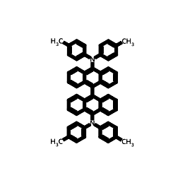 Cc1ccc(N(c2ccc(C)cc2)c2c3ccccc3c(-c3c4ccccc4c(N(c4ccc(C)cc4)c4ccc(C)cc4)c4ccccc34)c3ccccc23)cc1